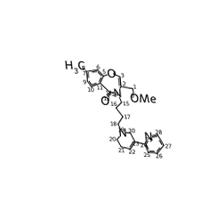 COCC1=COc2cc(C)ccc2C(=O)N1CCCCN1CCC=C(c2ccccn2)C1